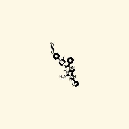 COCCOc1ccc(N2CCN(C(=O)C(c3ccccc3)n3ncc4c3nc(N)n3nc(-c5ccco5)nc43)C[C@@H]2C)cc1